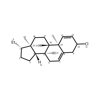 CC[C@H]1CC[C@H]2[C@@H]3CC=C4CC(Cl)C=C[C@]4(C)[C@H]3CC[C@]12C